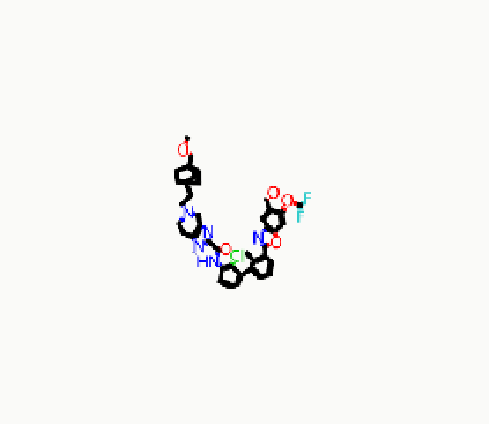 COCC12CCC(CCN3CCc4c(nc(C(=O)Nc5cccc(-c6cccc(-c7nc8cc(C=O)c(OC(F)F)cc8o7)c6C)c5Cl)n4C)C3)(CC1)C2